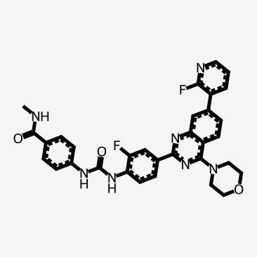 CNC(=O)c1ccc(NC(=O)Nc2ccc(-c3nc(N4CCOCC4)c4ccc(-c5cccnc5F)cc4n3)cc2F)cc1